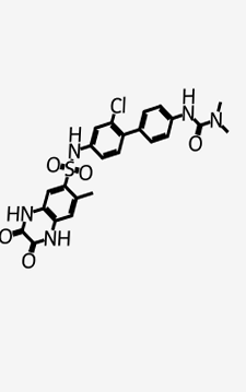 Cc1cc2[nH]c(=O)c(=O)[nH]c2cc1S(=O)(=O)Nc1ccc(-c2ccc(NC(=O)N(C)C)cc2)c(Cl)c1